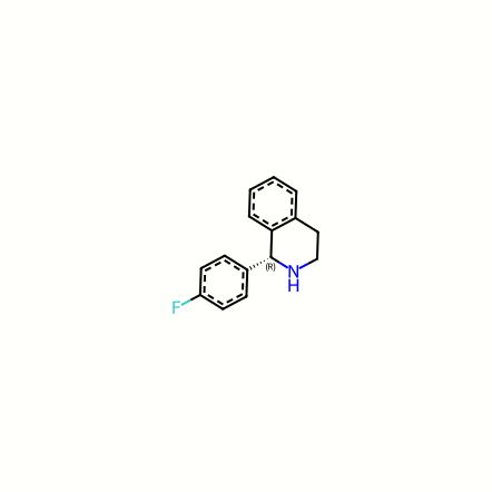 Fc1ccc([C@H]2NCCc3ccccc32)cc1